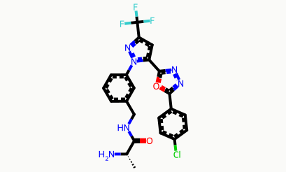 C[C@H](N)C(=O)NCc1cccc(-n2nc(C(F)(F)F)cc2-c2nnc(-c3ccc(Cl)cc3)o2)c1